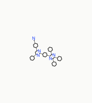 N#Cc1ccc(-c2cc(-c3ccccc3)nc(-c3ccc(-c4nc(-c5ccccc5)c(-c5ccccc5)nc4-c4ccccc4)cc3)n2)cc1